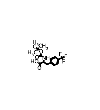 CC(C)(C)OC(=O)NC(Cc1ccc(C(F)(F)F)cc1)C(=O)O